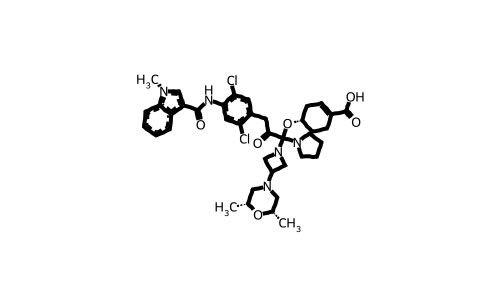 C[C@@H]1CN(C2CN(C(O[C@@H]3CC=C(C(=O)O)CC3)(C(=O)Cc3cc(Cl)c(NC(=O)c4cn(C)c5ccccc45)cc3Cl)N3CCCC3)C2)C[C@H](C)O1